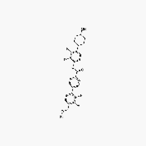 CCOCc1ccc(-c2ccc(C(=O)Oc3ccc(C4CCC(O)CC4)c(F)c3F)cc2)c(F)c1F